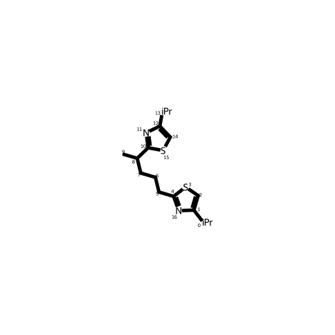 CC(C)c1csc(CCCC(C)c2nc(C(C)C)cs2)n1